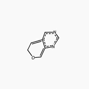 C1=c2cncnc2=COC1